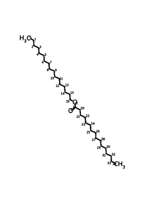 CCCCCCCCCCCCCCCCCOC(=O)CCCCCCCCCCCCCCC